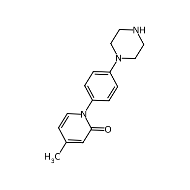 Cc1ccn(-c2ccc(N3CCNCC3)cc2)c(=O)c1